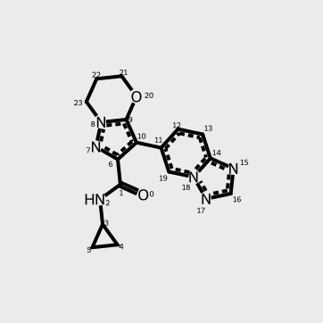 O=C(NC1CC1)c1nn2c(c1-c1ccc3ncnn3c1)OCCC2